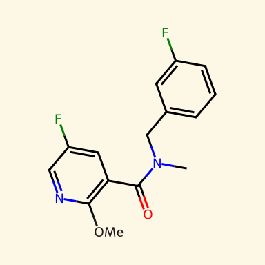 COc1ncc(F)cc1C(=O)N(C)Cc1cccc(F)c1